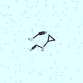 CC#N.O=CNC1CC1